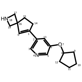 C1=C(c2cncc(OC3CCCC3)c2)CCC12CNC2